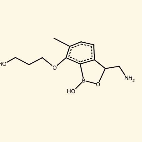 Cc1ccc2c(c1OCCCO)B(O)OC2CN